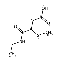 CCNC(=O)C(CC(=O)O)SC